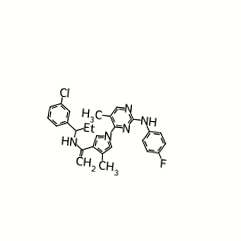 C=C(NC(CC)c1cccc(Cl)c1)c1cn(-c2nc(Nc3ccc(F)cc3)ncc2C)cc1C